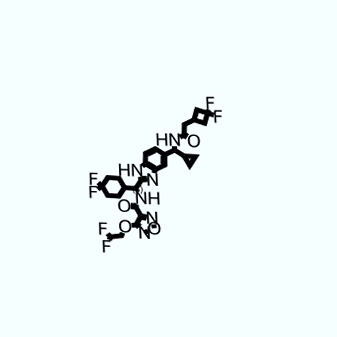 O=C(CC1CC(F)(F)C1)NC(c1ccc2[nH]c([C@@H](NC(=O)c3nonc3OCC(F)F)C3CCC(F)(F)CC3)nc2c1)C1CC1